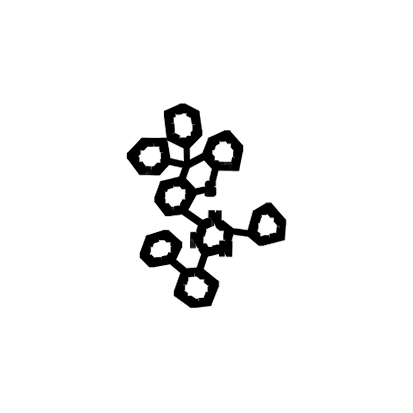 c1ccc(-c2nc(-c3ccccc3-c3ccccc3)nc(-c3cccc4c3Sc3ccccc3C4(c3ccccc3)c3ccccc3)n2)cc1